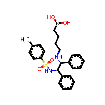 Cc1ccc(S(=O)(=O)N[C@H](c2ccccc2)[C@H](NCCCCB(O)O)c2ccccc2)cc1